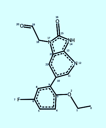 CCOc1ccc(F)cc1-c1cnc2[nH]c(=O)n(CC=O)c2c1